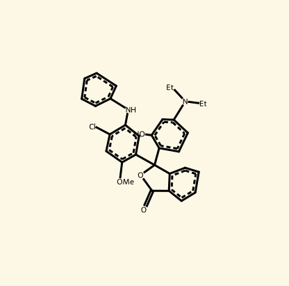 CCN(CC)c1ccc(C2(c3cc(Nc4ccccc4)c(Cl)cc3OC)OC(=O)c3ccccc32)c(O)c1